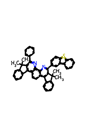 CC1(C)c2ccccc2-c2c1c(-c1ccccc1)nc1c2ccc2c3c(c(-c4ccc5sc6ccccc6c5c4)nc21)C(C)(C)c1ccccc1-3